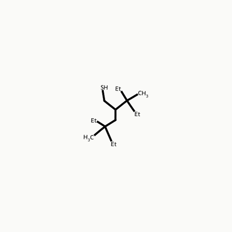 CCC(C)(CC)CC(CS)C(C)(CC)CC